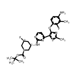 Cc1nc(Oc2ccc(N)c(C)c2F)c(-c2ccnc(N[C@H]3C[C@H](F)CN(C(=O)OC(C)(C)C)C3)n2)s1